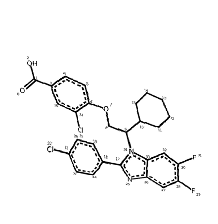 O=C(O)c1ccc(OCC(C2CCCCC2)n2c(-c3ccc(Cl)cc3)nc3cc(F)c(F)cc32)c(Cl)c1